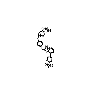 CS(=O)(=O)c1ccc(-c2cccn3nc(Nc4ccc(CN5CCS(O)(O)CC5)cc4)nc23)cc1